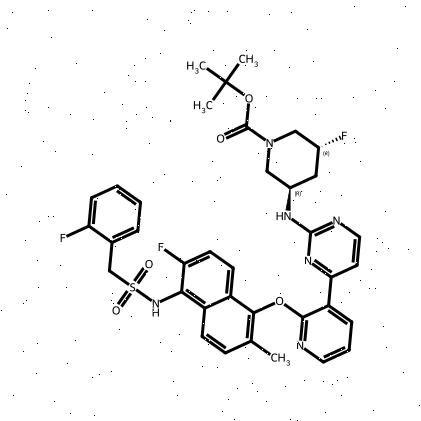 Cc1ccc2c(NS(=O)(=O)Cc3ccccc3F)c(F)ccc2c1Oc1ncccc1-c1ccnc(N[C@@H]2C[C@@H](F)CN(C(=O)OC(C)(C)C)C2)n1